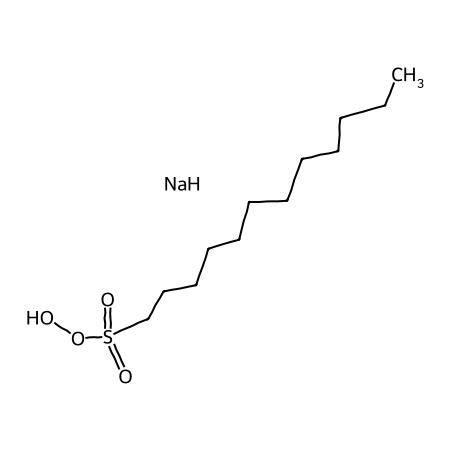 CCCCCCCCCCCCS(=O)(=O)OO.[NaH]